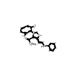 COC(=O)C1=C(C=CNc2ccccc2)OCN1c1c(F)cccc1Cl